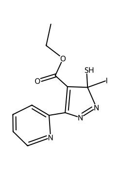 CCOC(=O)C1=C(c2ccccn2)N=NC1(S)I